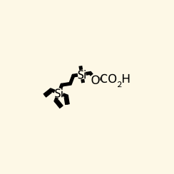 C=C[Si](C=C)(C=C)CCC[Si](C)(C)COC(=O)O